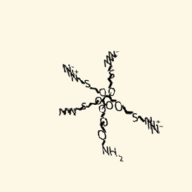 [N-]=[N+]=NCCSCCCOCC1O[C@@H](OCCOCCOCCN)C(OCCCSCCN=[N+]=[N-])C(OCCCSCCN=[N+]=[N-])[C@@H]1OCCCSCCN=[N+]=[N-]